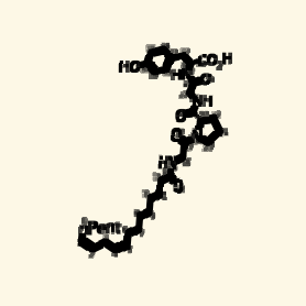 CCCCC/C=C\C/C=C\CCCCCCCC(=O)NCC(=O)N1CCC[C@H]1C(=O)NCC(=O)N[C@@H](Cc1ccc(O)cc1)C(=O)O